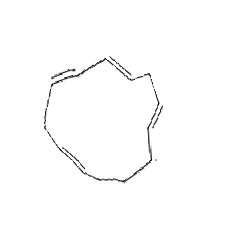 [CH]1/C=C/C/C=C/C=C/C/C=C\CC1